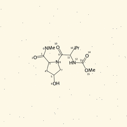 CNC(=O)C1CC(O)CN1C(=O)C(NC(=O)OC)C(C)C